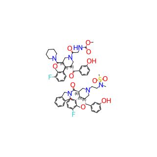 COC(=O)NCC(=O)N1C[C@H](C(=O)c2cccc(O)c2)[C@@H](c2cccc(F)c2C)[C@@H](C(=O)N2CCCCC2)C1.Cc1c(F)cccc1[C@H]1[C@@H](C(=O)c2cccc(O)c2)CN(CCN(C)S(C)(=O)=O)C[C@@H]1C(=O)N1Cc2ccccc2C1